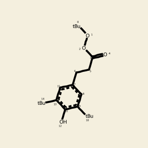 CC(C)(C)OOC(=O)CCc1cc(C(C)(C)C)c(O)c(C(C)(C)C)c1